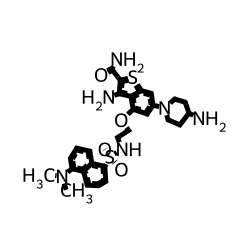 CN(C)c1cccc2c(S(=O)(=O)NCCOc3cc(N4CCC(N)CC4)cc4sc(C(N)=O)c(N)c34)cccc12